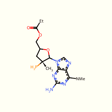 CCC(=O)OCC1C[C@@](C)(P)C(n2cnc3c(NC)nc(N)nc32)O1